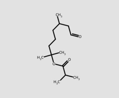 CC(CC=O)CCCC(C)(C)OC(=O)C(C)C